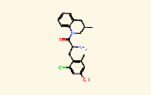 Cc1cc(O)cc(Cl)c1C[C@H](N)C(=O)N1CC(C)Cc2ccccc21